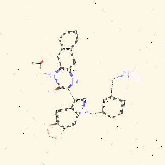 CC(=O)On1c(=O)c(-c2cn(Cc3cccc(CN)c3)c3cc4c(cc23)OCO4)nc2cc3ccccc3cc21